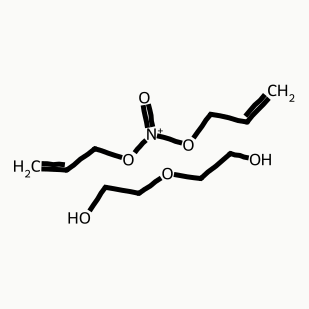 C=CCO[N+](=O)OCC=C.OCCOCCO